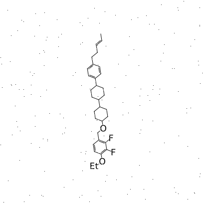 C/C=C/CCc1ccc(C2CCC(C3CCC(OCc4ccc(OCC)c(F)c4F)CC3)CC2)cc1